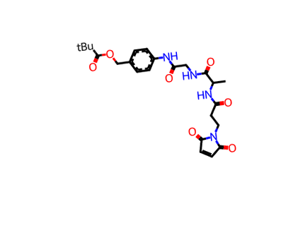 CC(NC(=O)CCN1C(=O)C=CC1=O)C(=O)NCC(=O)Nc1ccc(COC(=O)C(C)(C)C)cc1